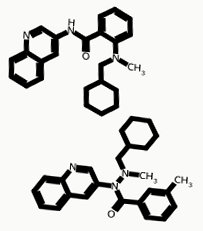 CN(CC1CCCCC1)c1ccccc1C(=O)Nc1cnc2ccccc2c1.Cc1cccc(C(=O)N(c2cnc3ccccc3c2)N(C)CC2CCCCC2)c1